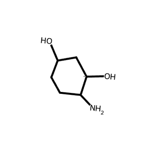 NC1CCC(O)C[C]1O